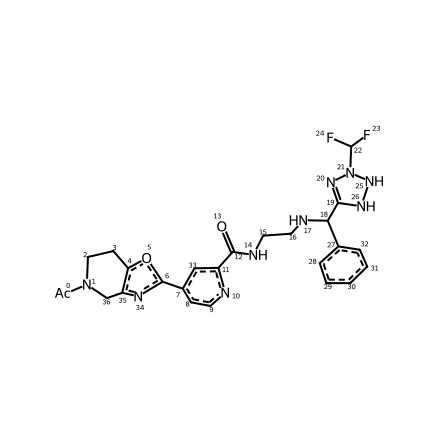 CC(=O)N1CCc2oc(-c3ccnc(C(=O)NCCNC(C4=NN(C(F)F)NN4)c4ccccc4)c3)nc2C1